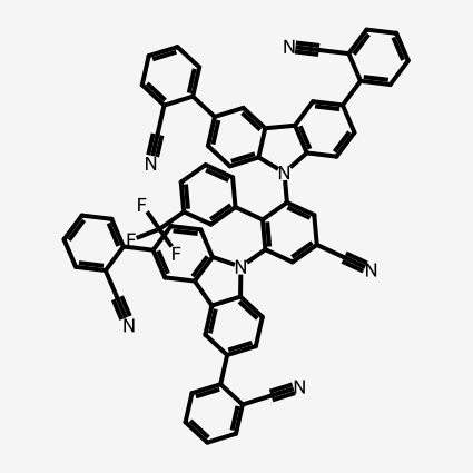 N#Cc1cc(-n2c3ccc(-c4ccccc4C#N)cc3c3cc(-c4ccccc4C#N)ccc32)c(-c2cccc(C(F)(F)F)c2)c(-n2c3ccc(-c4ccccc4C#N)cc3c3cc(-c4ccccc4C#N)ccc32)c1